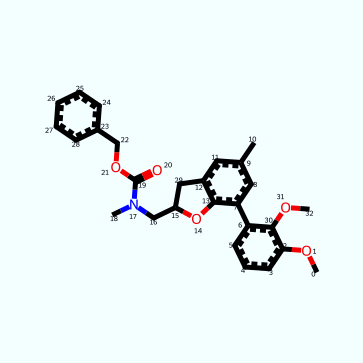 COc1cccc(-c2cc(C)cc3c2OC(CN(C)C(=O)OCc2ccccc2)C3)c1OC